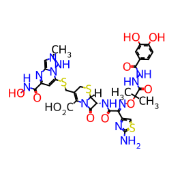 CN1C=C2N=C(C(=O)NO)C=C(SCC3=C(C(=O)O)N4C(=O)[C@@H](NC(=O)C(=NOC(C)(C)C(=O)NNC(=O)c5ccc(O)c(O)c5)c5csc(N)n5)[C@H]4SC3)N2N1